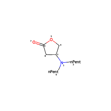 CCCCCN(CCCCC)C1COC(=O)C1